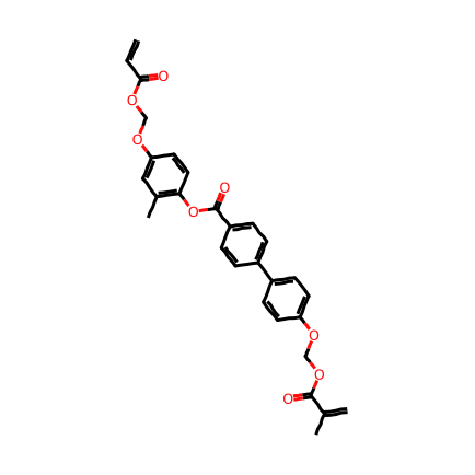 C=CC(=O)OCOc1ccc(OC(=O)c2ccc(-c3ccc(OCOC(=O)C(=C)C)cc3)cc2)c(C)c1